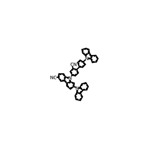 N#Cc1ccc2c(c1)c1ccc(-n3c4ccccc4c4ccccc43)cc1n2-c1ccc(-c2ccc(-n3c4ccccc4c4ccccc43)cc2)c(C#N)c1